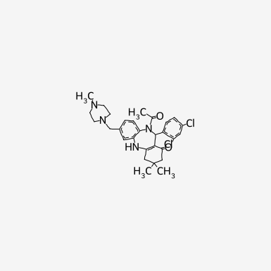 CC(=O)N1c2ccc(CN3CCN(C)CC3)cc2NC2=C(C(=O)CC(C)(C)C2)C1c1ccc(Cl)cc1Cl